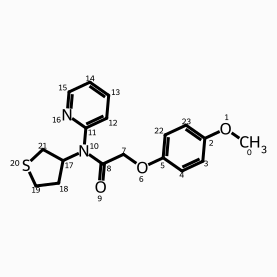 COc1ccc(OCC(=O)N(c2ccccn2)C2CCSC2)cc1